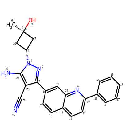 C[C@]1(O)C[C@H](n2nc(-c3ccc4ccc(-c5ccccc5)nc4c3)c(C#N)c2N)C1